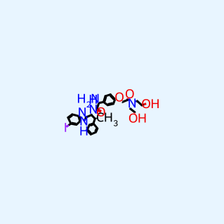 C[C@@H](c1ccccc1)[C@H](NC(=O)C(N)c1ccc(OCC(=O)N(CCO)CCO)cc1)c1nc2ccc(I)cc2[nH]1